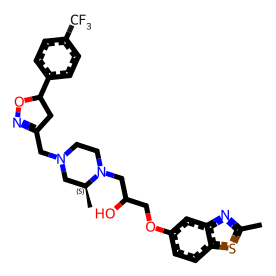 Cc1nc2cc(OCC(O)CN3CCN(CC4=NOC(c5ccc(C(F)(F)F)cc5)C4)C[C@@H]3C)ccc2s1